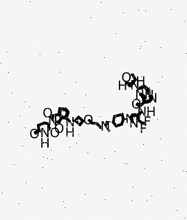 CN(CCCO[C@H]1C[C@H](Nc2cccc3c2C(=O)N(C2CCC(=O)NC2=O)C3=O)C1)C[C@H]1CC[C@H](n2cc(NC(=O)c3cnn4ccc(N5C[C@H]6C[C@@H]5CO6)nc34)c(C(F)F)n2)CC1